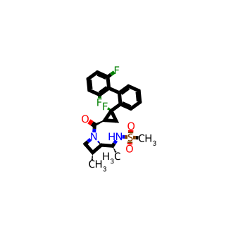 C[C@@H]1CN(C(=O)[C@@H]2C[C@@]2(F)c2ccccc2-c2c(F)cccc2F)[C@@H]1[C@@H](C)NS(C)(=O)=O